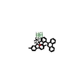 CC1=C[CH]([Zr]([CH3])([CH3])(=[SiH2])[CH]2c3cc(C)ccc3-c3ccc(C)cc32)c2cccc(-c3cc4ccccc4c4ccccc34)c21.Cl.Cl